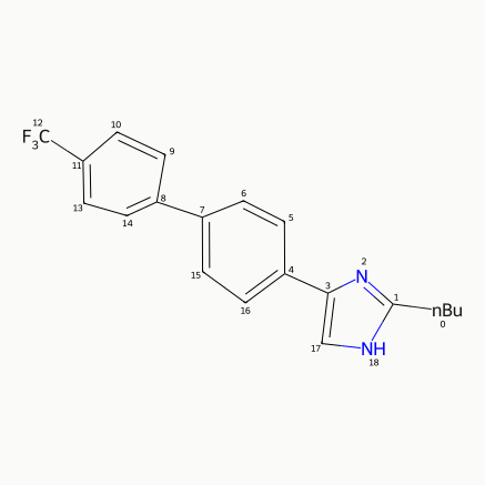 CCCCc1nc(-c2ccc(-c3ccc(C(F)(F)F)cc3)cc2)c[nH]1